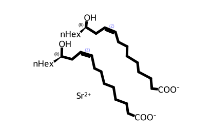 CCCCCC[C@@H](O)C/C=C\CCCCCCCC(=O)[O-].CCCCCC[C@@H](O)C/C=C\CCCCCCCC(=O)[O-].[Sr+2]